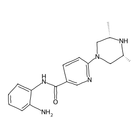 C[C@@H]1CN(c2ccc(C(=O)Nc3ccccc3N)cn2)C[C@H](C)N1